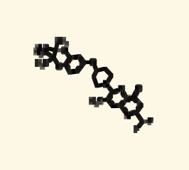 BC1(B)Oc2ccc(OC3CCN(c4nn5c(=O)cc(C(F)F)nc5cc4C)CC3)cc2OC1(B)B